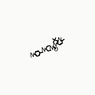 Cc1ccc2c(n1)C(C)(C)CN2C(=O)N1CCC(N(C)Cc2ccc(N(C)C)cc2)CC1